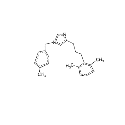 Cc1ccc(Cn2cnc(CCCc3c(C)cccc3C)c2)cc1